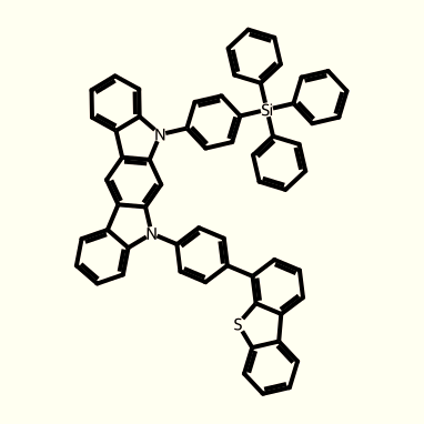 c1ccc([Si](c2ccccc2)(c2ccccc2)c2ccc(-n3c4ccccc4c4cc5c6ccccc6n(-c6ccc(-c7cccc8c7sc7ccccc78)cc6)c5cc43)cc2)cc1